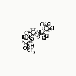 O=C(Nc1c(F)ccc(NC(=O)C(F)(F)F)c1F)c1cc(NC(=O)C2[C@H](c3cc(Cl)c(Cl)c(Cl)c3)C2(Cl)Cl)ccc1Cl